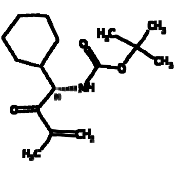 C=C(C)C(=O)[C@@H](NC(=O)OC(C)(C)C)C1CCCCC1